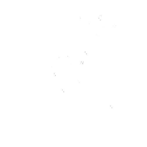 O=C1NC(=O)C(Cc2nnc(C(NC(=O)c3ccc(C(F)(F)F)cc3)c3nc4ccc(-c5ccc(F)nc5)cc4s3)o2)S1